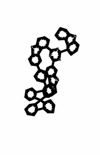 c1ccc2c(c1)-c1ccccc1C21c2ccccc2-c2c(-c3ccc(-c4ccc5oc6cccc(-c7nc(-c8ccc9c(c8)sc8ccccc89)nc(-c8cccc9oc%10ccccc%10c89)n7)c6c5c4)cc3)cccc21